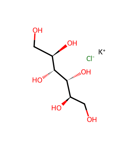 OC[C@@H](O)[C@@H](O)[C@H](O)[C@H](O)CO.[Cl-].[K+]